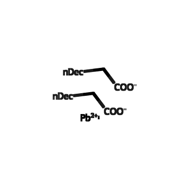 CCCCCCCCCCCC(=O)[O-].CCCCCCCCCCCC(=O)[O-].[Pb+2]